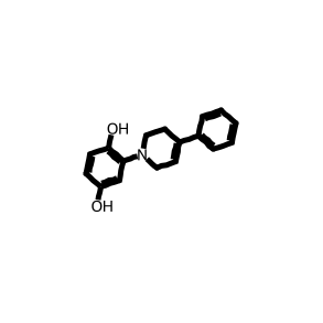 Oc1ccc(O)c(N2CC=C(c3ccccc3)CC2)c1